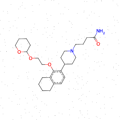 NC(=O)CCCN1CCC(c2ccc3c(c2OCCOC2CCCCO2)CCCC3)CC1